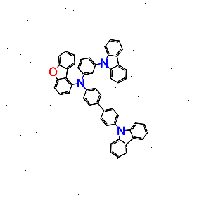 c1cc(N(c2ccc(-c3ccc(-n4c5ccccc5c5ccccc54)cc3)cc2)c2cccc3oc4ccccc4c23)cc(-n2c3ccccc3c3ccccc32)c1